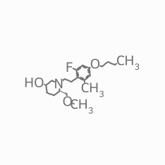 CCCCOc1cc(C)c(CCN2C[C@H](O)CC[C@@H]2COC)c(F)c1